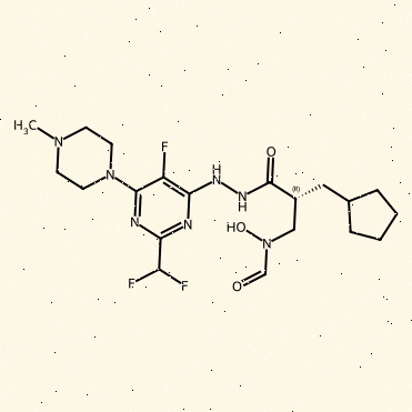 CN1CCN(c2nc(C(F)F)nc(NNC(=O)[C@H](CC3CCCC3)CN(O)C=O)c2F)CC1